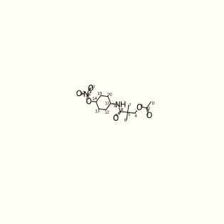 CC(=O)OCC(C)(C)C(=O)NC1CCC(O[N+](=O)[O-])CC1